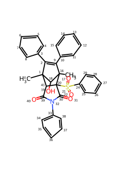 CC12C(c3ccccc3)=C(c3ccccc3)C(C)(C1O)C1(S(=O)(=O)c3ccccc3)C(=O)N(c3ccccc3)C(=O)C21